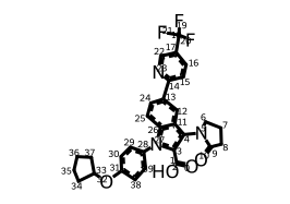 O=C(O)c1c(N2CCCC2=O)c2cc(-c3ccc(C(F)(F)F)cn3)ccc2n1-c1ccc(OC2CCCC2)cc1